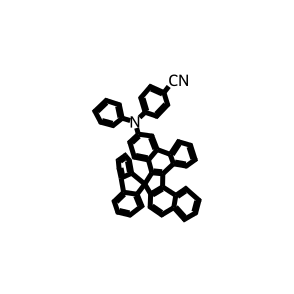 N#Cc1ccc(N(c2ccccc2)c2ccc3c4c(c5ccccc5c3c2)-c2c(ccc3ccccc23)C42c3ccccc3-c3ccccc32)cc1